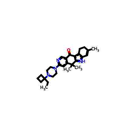 CCC1(N2CCN(c3cc4c(cn3)C(=O)c3c([nH]c5c3CCC(C)=C5)C4(C)C)CC2)CCC1